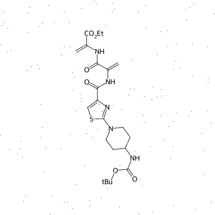 C=C(NC(=O)c1csc(N2CCC(NC(=O)OC(C)(C)C)CC2)n1)C(=O)NC(=C)C(=O)OCC